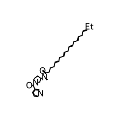 CCC=CCC=CCC=CCC=CCC=CCCCC(=O)N(C)C1CCN(C(=O)c2cccnc2)C1